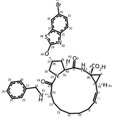 O=C1N[C@]2(C(=O)O)C[C@H]2/C=C\CCCCC[C@H](NCc2ccccc2)C(=O)N2C[C@H](Oc3nc4ccc(Br)cc4s3)C[C@@H]12